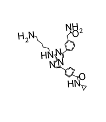 NCCCCCNc1nc(-c2cccc(CC(N)=O)c2)cn2c(-c3ccc(C(=O)NC4CC4)cc3)cnc12